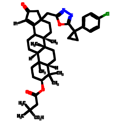 CC(C)C1=C2C3CC[C@@H]4C5(C)CC[C@H](OC(=O)CC(C)(C)C(=O)O)C(C)(C)[C@@H]5CC[C@@]4(C)[C@]3(C)CCC2(Cc2nnc(C3(c4ccc(Cl)cc4)CC3)o2)CC1=O